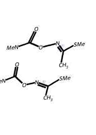 CNC(=O)O/N=C(\C)SC.CNC(=O)O/N=C(\C)SC